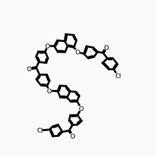 O=C(c1ccc(Cl)cc1)c1ccc(Oc2ccc3ccc(Oc4ccc(C(=O)c5ccc(Oc6ccc7c(Oc8ccc(C(=O)c9ccc(Cl)cc9)cc8)cccc7c6)cc5)cc4)cc3c2)cc1